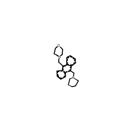 c1ccc2c(CN3CCOCC3)c3ccccc3c(CN3CCCCC3)c2c1